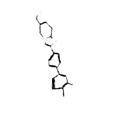 Cc1ccc(-c2ccc(-c3cn4c(n3)CCC(CO)C4)cc2)cc1C